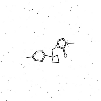 Cc1ccc(C2(Cn3ccn(C)c3=O)CCC2)cc1